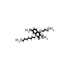 CCCCCCCCn1c(=O)c(OC)c(OCCCC)c2ccc(N)cc21